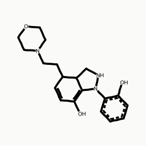 OC1=C2C(CNN2c2ccccc2O)C(CCN2CCOCC2)C=C1